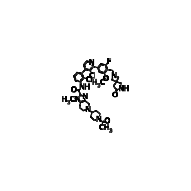 COc1cc(-c2nccc(-c3cccc(NC(=O)c4nc5c(n4C)CCN(C4CCN(C(C)=O)CC4)C5)c3Cl)c2Cl)cc(F)c1CN1CC2(CNC(=O)C2)C1